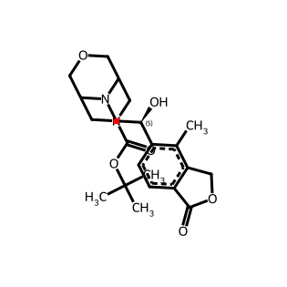 Cc1c([C@H](O)CN2C3COCC2CN(C(=O)OC(C)(C)C)C3)ccc2c1COC2=O